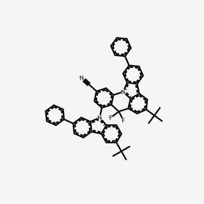 CC(C)(C)c1ccc2c(c1)c1ccc(-c3ccccc3)cc1n2-c1cc(C#N)cc2c1C(F)(F)c1cc(C(C)(C)C)cc3c4ccc(-c5ccccc5)cc4n-2c13